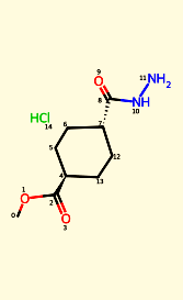 COC(=O)[C@H]1CC[C@H](C(=O)NN)CC1.Cl